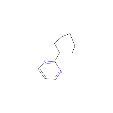 c1cnc([C]2CCCCC2)nc1